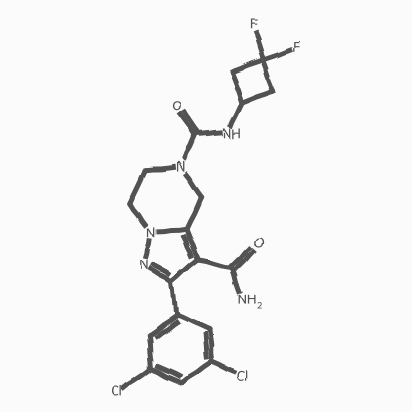 NC(=O)c1c(-c2cc(Cl)cc(Cl)c2)nn2c1CN(C(=O)NC1CC(F)(F)C1)CC2